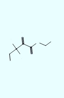 CCOC(=O)C(=O)C(C)(C)CF